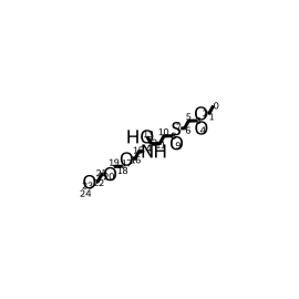 CCOC(=O)CCSC(=O)CCC(O)NCCOCCOCCOC